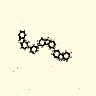 c1ccc2c(c1)oc1ccc(-c3cncc(-c4ccc5oc6ccc(-c7ccc8oc9ccccc9c8c7)cc6c5c4)c3)cc12